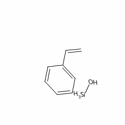 C=Cc1ccccc1.O[SiH3]